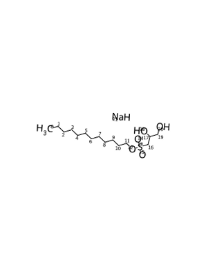 CCCCCCCCCCCCOS(=O)(=O)CC(O)CO.[NaH]